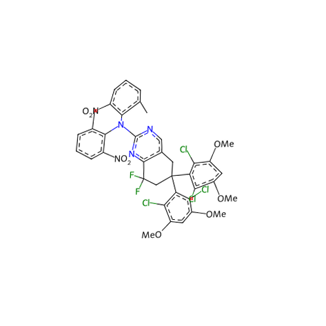 COc1cc(OC)c(Cl)c(C2(c3c(Cl)c(OC)cc(OC)c3Cl)Cc3cnc(N(c4c(C)cccc4[N+](=O)[O-])c4c(C)cccc4[N+](=O)[O-])nc3C(F)(F)C2)c1Cl